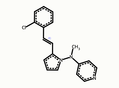 CN(c1ccncc1)n1cccc1/C=C/c1ccccc1Cl